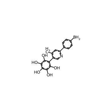 Bc1ccc(-c2cc(C)c(-c3c(O)c(O)c(O)c(O)c3O)cn2)cc1